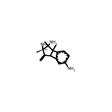 C=C1C2c3cc(N)ccc3C2(C)C(C)(N)[C@@]1(C)N